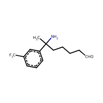 CC(N)(CCCCC=O)c1cccc(C(F)(F)F)c1